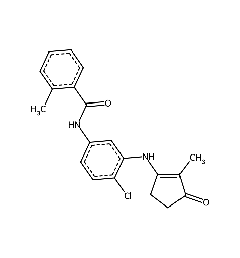 CC1=C(Nc2cc(NC(=O)c3ccccc3C)ccc2Cl)CCC1=O